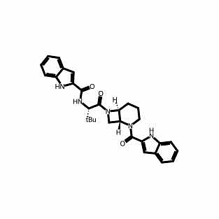 CC(C)(C)[C@H](NC(=O)c1cc2ccccc2[nH]1)C(=O)N1C[C@@H]2[C@@H]1CCCN2C(=O)c1cc2ccccc2[nH]1